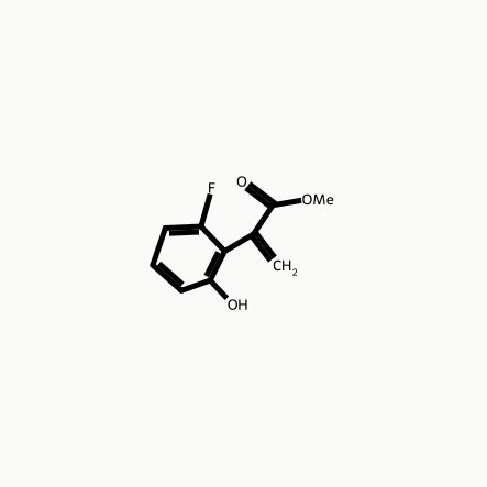 C=C(C(=O)OC)c1c(O)cccc1F